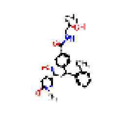 Cc1ccccc1C(CC(=NO)c1ccc(=O)n(C)c1)c1ccc(C(=O)NCC(C)O)cc1